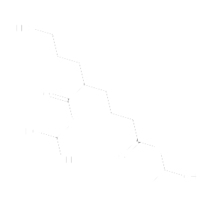 CCCCC(CCCC(=O)OC(C)C)C(=O)OC(C)C